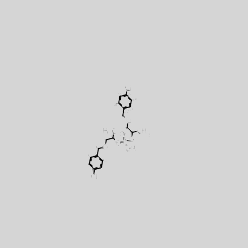 CC(COCc1ccc(Cl)cc1)OP(=O)(O)OC(C)COCc1ccc(Cl)cc1